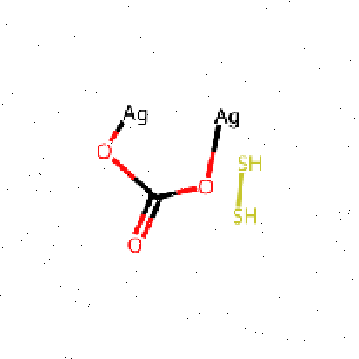 O=C([O][Ag])[O][Ag].SS